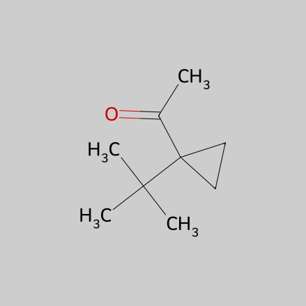 CC(=O)C1(C(C)(C)C)CC1